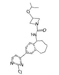 CC(C)OC1CN(C(=O)NC2CCCCc3cc(-c4ccnc(Cl)n4)ccc32)C1